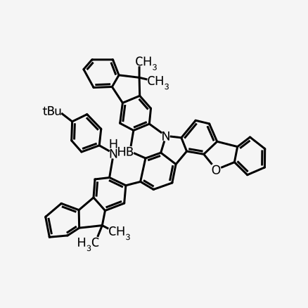 CC(C)(C)c1ccc(Nc2cc3c(cc2-c2ccc4c5c6oc7ccccc7c6ccc5n5c4c2Bc2cc4c(cc2-5)C(C)(C)c2ccccc2-4)C(C)(C)c2ccccc2-3)cc1